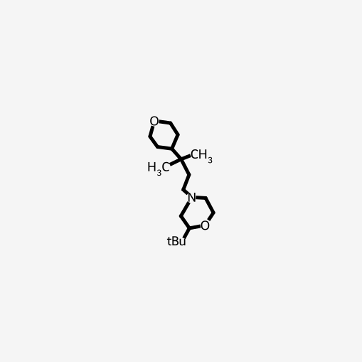 CC(C)(C)C1CN(CCC(C)(C)C2CCOCC2)CCO1